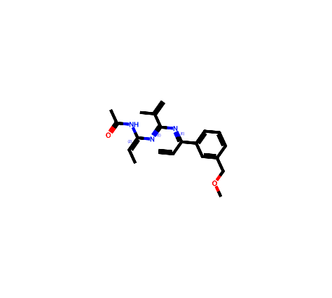 C=C\C(=N/C(=N/C(=C\C)NC(C)=O)C(=C)C)c1cccc(COC)c1